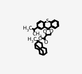 CC(C)c1ccc2c(c1)C1(OCC(C(=O)OC3(C)CC4CCC5CC4CC3C5)O1)c1ccccc1S2